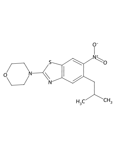 CC(C)Cc1cc2nc(N3CCOCC3)sc2cc1[N+](=O)[O-]